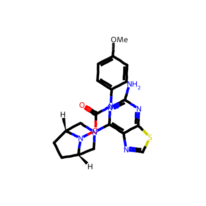 COc1ccc(NC(=O)ON2[C@@H]3CC[C@H]2CN(c2nc(N)nc4scnc24)C3)cc1